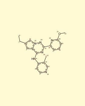 CCc1cc2c(Nc3ccncc3I)nc(-c3cccc(OC)n3)nn2c1